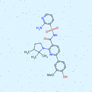 COc1cc(-c2ccc(C(=O)NS(=O)(=O)c3cccnc3N)c(N3CCC(C)C3(C)C)n2)ccc1O